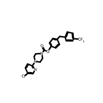 O=C(Oc1ccc(Cc2ccc(C(F)(F)F)cc2)cc1)N1CCN(c2ccc(Cl)cn2)CC1